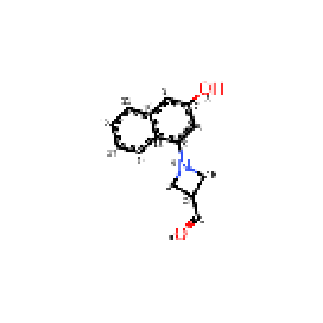 O=CC1CN(c2cc(O)cc3ccccc23)C1